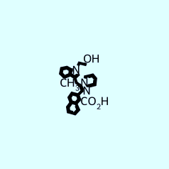 Cc1cccc2c1c(Cc1c(-c3ccc4ccccc4c3C(=O)O)nc3ccccn13)cn2CCO